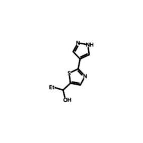 CCC(O)c1cnc(-c2cn[nH]c2)s1